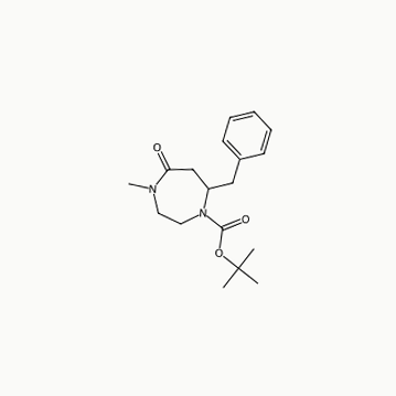 CN1CCN(C(=O)OC(C)(C)C)C(Cc2ccccc2)CC1=O